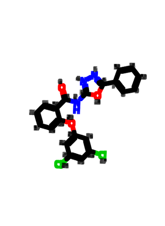 O=C(Nc1nnc(-c2ccccc2)o1)c1ccccc1Oc1cc(Cl)cc(Cl)c1